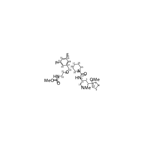 CNC[C@H](CCC1(OC)CCCC1)NC(=O)N1CCC[C@@H](C(OCCNC(=O)OC)c2cc(F)cc(F)c2)C1